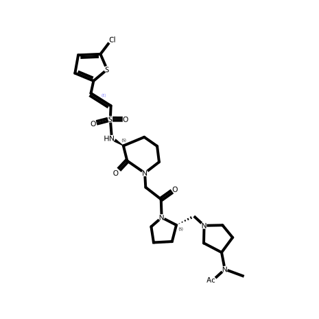 CC(=O)N(C)C1CCN(C[C@@H]2CCCN2C(=O)CN2CCC[C@H](NS(=O)(=O)/C=C/c3ccc(Cl)s3)C2=O)C1